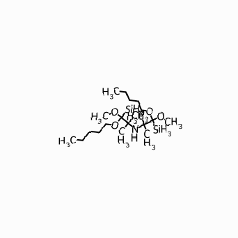 CCCCCOC([SiH3])(OC)C(C)(C)NC(C)(C)C([SiH3])(OC)OCCCCC